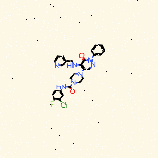 O=C(Nc1ccc(F)c(Cl)c1)N1CCN(c2cnn(-c3ccccc3)c(=O)c2NCc2cccnc2)CC1